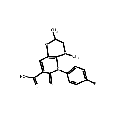 CC1CN(C)c2c(cc(C(=O)O)c(=O)n2-c2ccc(F)cc2)O1